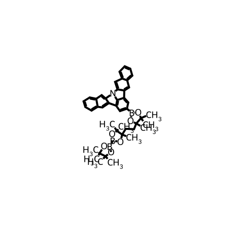 CC1(C)OB(B2OC(C)(C)C(C)(CCC3(C)OB(c4cc5c6cc7ccccc7cc6n6c7cc8ccccc8cc7c(c4)c56)OC3(C)C)O2)OC1(C)C